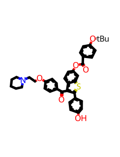 CC(C)(C)Oc1ccc(C(=O)Oc2ccc3c(C(=O)c4ccc(OCCN5CCCCC5)cc4)c(-c4ccc(O)cc4)sc3c2)cc1